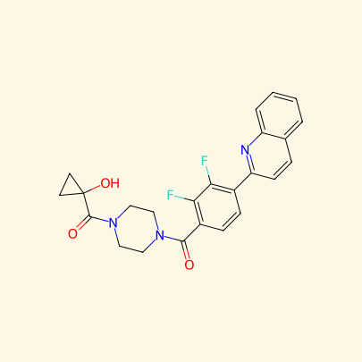 O=C(c1ccc(-c2ccc3ccccc3n2)c(F)c1F)N1CCN(C(=O)C2(O)CC2)CC1